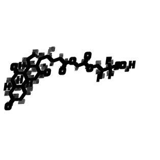 C[C@H](CCC(=O)OCC(=O)OCC(F)C(F)(F)S(=O)(=O)O)[C@H]1CC[C@H]2[C@@H]3C(=O)C[C@@H]4CC(=O)CC[C@]4(C)[C@H]3CC(=O)[C@]12C